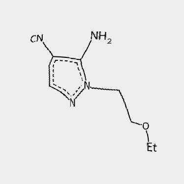 [C-]#[N+]c1cnn(CCOCC)c1N